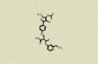 CCc1cccc(OC(F)C(COc2ccc(-c3nn(C)c(OC(F)F)c3Cl)cc2)C(=O)O)c1